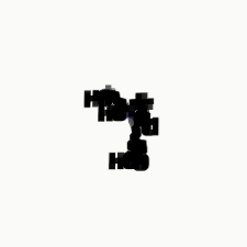 C[C@@H](O)CCC[C@H](O)/C=C/[C@@H]1[C@@H](CCCc2ccc(C(=O)O)s2)[C@H](Cl)C[C@H]1C(F)(F)F